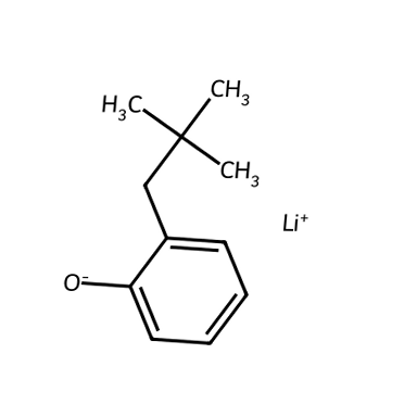 CC(C)(C)Cc1ccccc1[O-].[Li+]